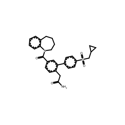 NC(=O)Cc1ccc(C(=O)N2CCCCc3ccccc32)cc1-c1ccc(S(=O)(=O)CC2CC2)cc1